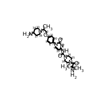 CC(COc1ccc(-n2ccc(NC(=O)N3CCN(C(=O)C(C)(C)N)CC3)nc2=O)cc1)N1CCC(N)CC1